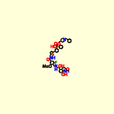 COc1cc(C(=O)NCc2ccc(-c3cccc(C(O)(C(=O)OCC4CCN(Cc5ccccc5)CC4)c4ccccc4)c3)s2)cc(F)c1CNCC(O)c1ccc(O)c2[nH]c(=O)ccc12